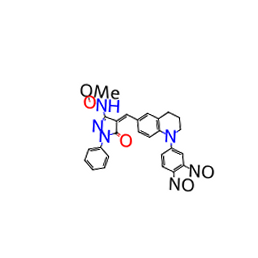 COONC1=NN(c2ccccc2)C(=O)/C1=C\c1ccc2c(c1)CCCN2c1ccc(N=O)c(N=O)c1